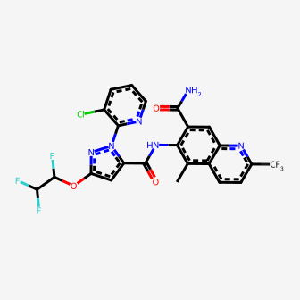 Cc1c(NC(=O)c2cc(OC(F)C(F)F)nn2-c2ncccc2Cl)c(C(N)=O)cc2nc(C(F)(F)F)ccc12